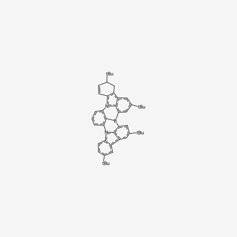 CC(C)(C)c1cc2c3c(c1)c1c(n3-c3cccc4c3B2c2cc(C(C)(C)C)cc3c5cc(C(C)(C)C)ccc5n-4c23)C=CC(C(C)(C)C)C1